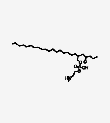 CCCCCCCCCCCCCCCCCCC(COP(=O)(O)OCCNC)CC(=O)CCC